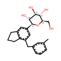 Cc1cccc(Cc2cc([C@@H]3O[C@H](CO)[C@@H](O)[C@H](O)[C@H]3O)cc3c2CCC3)c1